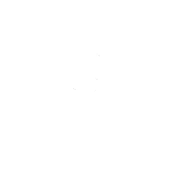 NC(CC(O)c1ccc(Cl)cc1)C(=O)N1CCN(S(=O)(=O)c2ccccc2F)CC1